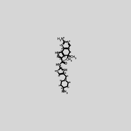 CC1(C)Cc2cnc(N)nc2-c2[nH]nc(C(=O)NC3NC(CN4CCC(N)CC4)=CS3)c21